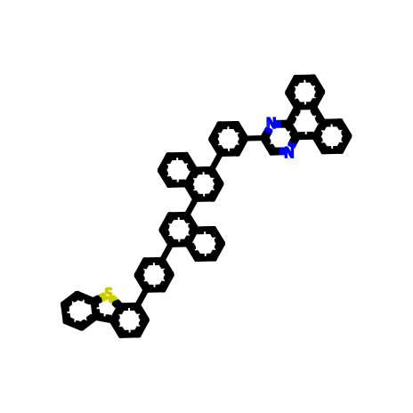 c1cc(-c2cnc3c4ccccc4c4ccccc4c3n2)cc(-c2ccc(-c3ccc(-c4ccc(-c5cccc6c5sc5ccccc56)cc4)c4ccccc34)c3ccccc23)c1